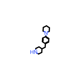 c1cc(N2CCCCC2)ccc1CC1CCNCC1